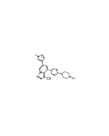 Cn1cc(-c2cc(-c3ccc(N4CC[S+]([O-])CC4)nc3)c3c(C#N)cnn3c2)cn1